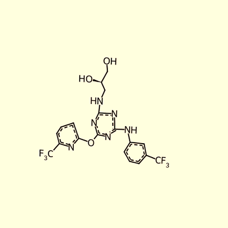 OC[C@H](O)CNc1nc(Nc2cccc(C(F)(F)F)c2)nc(Oc2cccc(C(F)(F)F)n2)n1